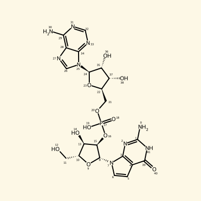 Nc1nc2c(ccn2[C@@H]2O[C@H](CO)[C@@H](O)[C@H]2OP(=O)(O)OC[C@H]2O[C@@H](n3cnc4c(N)ncnc43)[C@H](O)[C@@H]2O)c(=O)[nH]1